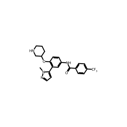 Cn1nccc1-c1cc(NC(=O)c2ccc(C(F)(F)F)cc2)ccc1OC1CCCNC1